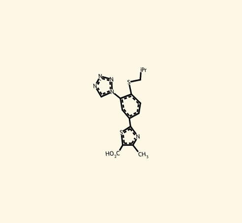 Cc1nc(-c2ccc(SCC(C)C)c(-n3cnnn3)c2)sc1C(=O)O